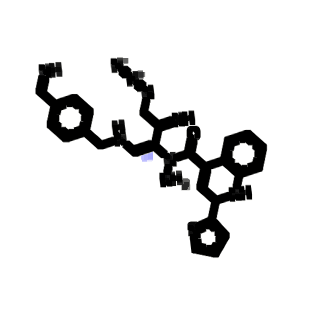 [N-]=[N+]=NCC(=N)/C(=C\NCc1ccc(C=N)cc1)N(N)C(=O)C1=CC(c2cccs2)Nc2ccccc21